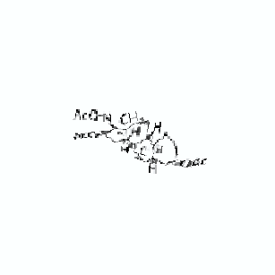 CC(=O)ON=C1[C@H](OC(C)=O)C[C@H]2[C@@H]3CC[C@H]4C[C@@H](OC(C)=O)CC[C@]4(C)[C@H]3CC[C@]12C